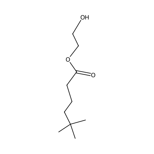 CC(C)(C)CCCC(=O)OCCO